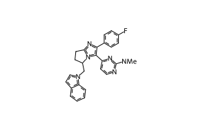 CNc1nccc(-c2c(-c3ccc(F)cc3)nc3n2C(Cn2ccc4ccccc42)CC3)n1